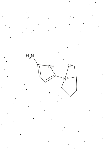 C[N+]1(c2ccc(N)[nH]2)CCCC1